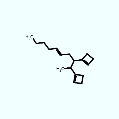 CCCCC=CCC(C1=CCC1)C(C)C1=CCC1